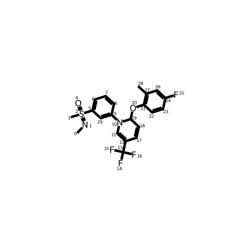 CN=S(C)(=O)c1cccc(N2C=C(C(F)(F)F)C=CC2Oc2ccc(F)cc2C)c1